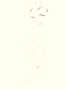 CC(C)CCC[C@@H](C)[C@H]1CCC2C3CCC4C[C@@H](OCCNc5ccc(O)c6ncccc56)CC[C@]4(C)C3CC[C@@]21C